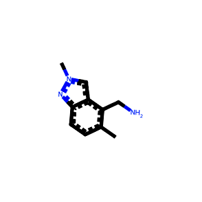 Cc1ccc2nn(C)cc2c1CN